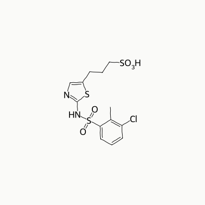 Cc1c(Cl)cccc1S(=O)(=O)Nc1ncc(CCCS(=O)(=O)O)s1